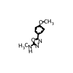 CNc1nnc(-c2ccc(OC)cc2)o1